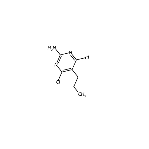 CCCc1c(Cl)nc(N)nc1Cl